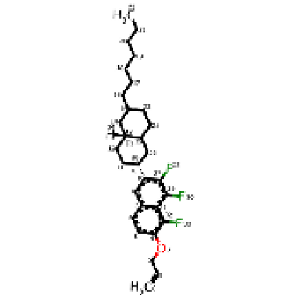 C=CCOc1ccc2cc([C@@H]3CC[C@@H]4CC(CCCCCCC)CCC4C3)c(F)c(F)c2c1F